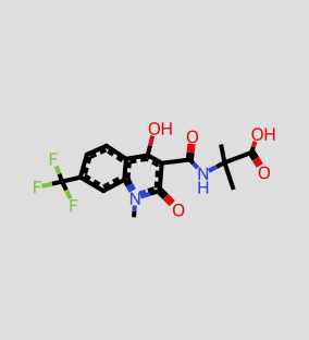 Cn1c(=O)c(C(=O)NC(C)(C)C(=O)O)c(O)c2ccc(C(F)(F)F)cc21